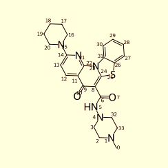 CN1CCN(NC(=O)c2c(=O)c3ccc(N4CCCCC4)nc3n3c2sc2ccccc23)CC1